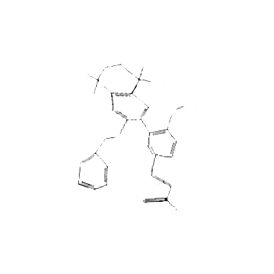 COc1ccc(/C=C/C(N)=O)cc1-c1cc2c(cc1OCc1ccccc1)C(C)(C)CCC2(C)C